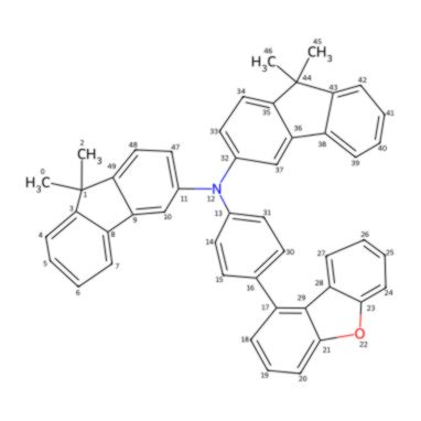 CC1(C)c2ccccc2-c2cc(N(c3ccc(-c4cccc5oc6ccccc6c45)cc3)c3ccc4c(c3)-c3ccccc3C4(C)C)ccc21